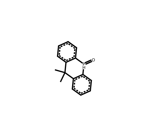 CC1(C)c2ccccc2[PH](=O)c2ccccc21